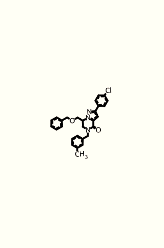 Cc1cccc(CN2CC(COCc3ccccc3)n3nc(-c4ccc(Cl)cc4)cc3C2=O)c1